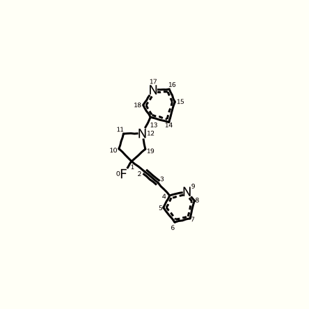 FC1(C#Cc2ccccn2)CCN(c2cccnc2)C1